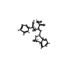 COC(=O)C(CC1CNc2ccccc21)NC(=O)c1cccnc1